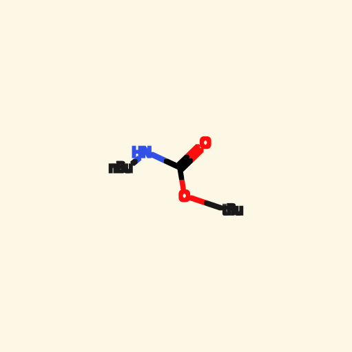 [CH2]CCCNC(=O)OC(C)(C)C